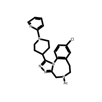 CC(=O)N1CCc2cc(Cl)ccc2-n2c(nnc2C2CCN(c3ccccn3)CC2)C1